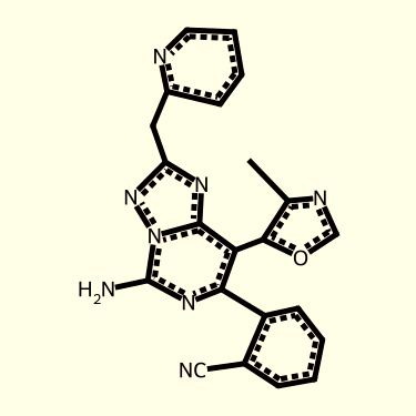 Cc1ncoc1-c1c(-c2ccccc2C#N)nc(N)n2nc(Cc3ccccn3)nc12